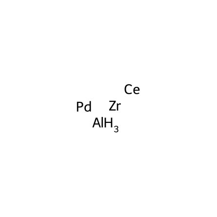 [AlH3].[Ce].[Pd].[Zr]